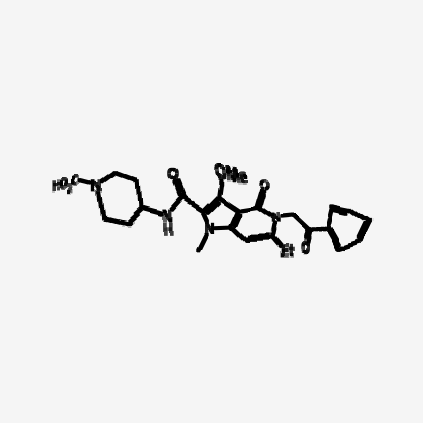 CCc1cc2c(c(OC)c(C(=O)NC3CCN(C(=O)O)CC3)n2C)c(=O)n1CC(=O)c1ccccc1